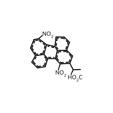 CC(C(=O)O)c1cc2cccc3c4c([N+](=O)[O-])ccc5cccc(c(c1[N+](=O)[O-])c23)c54